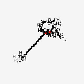 CNC(=NCCCCCCCCCCCCCC/C=C/C(=O)NC(C)C(=O)NC12CS/C=C\NC(=O)C(CO)NC(=O)CNC(=O)C(CC(C)C)NC(=O)C(C1)NC(=O)C(CCC(N)=O)NC2=O)NC